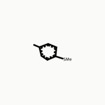 CSc1[c]cc(C)cc1